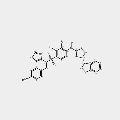 COc1ccc(CN(c2cscn2)S(=O)(=O)c2ccc(N(C)C3CCN([C@H]4CCc5ccccc54)C3)c(Cl)c2F)cc1